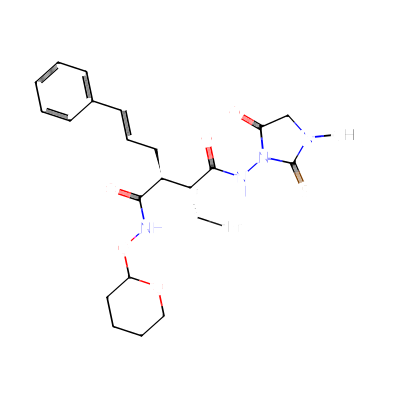 CC(C)C[C@@H](C(=O)NN1C(=O)CN(C)C1=S)[C@H](C/C=C/c1ccccc1)C(=O)NOC1CCCCO1